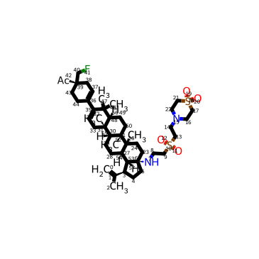 C=C(C)[C@@H]1CC[C@]2(NCCS(=O)(=O)CCN3CCS(=O)(=O)CC3)CC[C@]3(C)[C@H](CC[C@@H]4[C@@]5(C)CC=C(C6=CC[C@](CF)(C(C)=O)CC6)C(C)(C)[C@@H]5CC[C@]43C)[C@@H]12